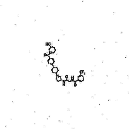 O=C(CNC(=O)c1cccc(C(F)(F)F)c1)N[C@@H]1CCN(C2CCC(c3ccc(C(=O)N4CCCC(O)C4)cc3)CC2)C1